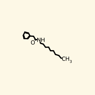 CCCCCCCCCCNC(=O)Cc1ccccc1